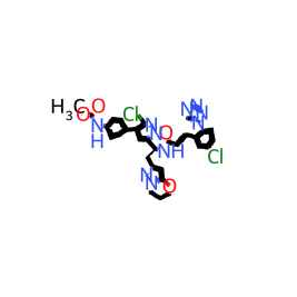 COC(=O)Nc1ccc(-c2cc([C@H](Cc3cc4n(n3)CCCO4)NC(=O)/C=C/c3cc(Cl)ccc3-n3cnnn3)nnc2Cl)cc1